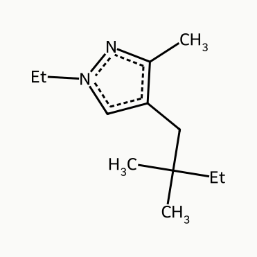 CCn1cc(CC(C)(C)CC)c(C)n1